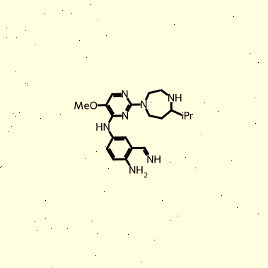 COc1cnc(N2CCNC(C(C)C)CC2)nc1Nc1ccc(N)c(C=N)c1